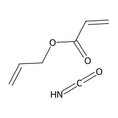 C=CCOC(=O)C=C.N=C=O